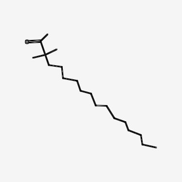 CCCCCCCCCCCCCCC(C)(C)C(C)=O